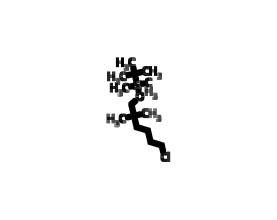 CC(C)(CCCCCl)CO[Si](C)(C)C(C)(C)C